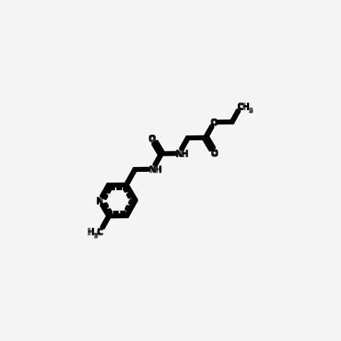 CCOC(=O)CNC(=O)NCc1ccc(C)nc1